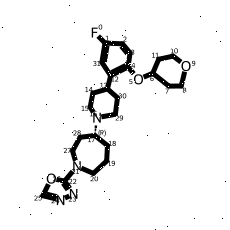 Fc1ccc(OC2CCOCC2)c(C2CCN([C@@H]3CCCN(c4nnco4)CC3)CC2)c1